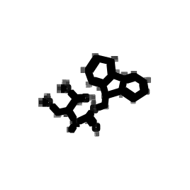 CN(C(=O)OCC1c2ccccc2-c2ccccc21)C(CO)C(=O)O